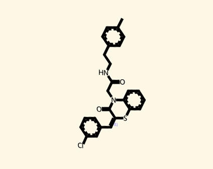 Cc1ccc(CCNC(=O)CN2C(=O)/C(=C\c3cccc(Cl)c3)Sc3ccccc32)cc1